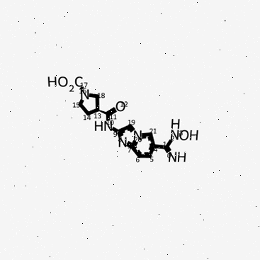 N=C(NO)c1ccc2nc(NC(=O)[C@H]3CCN(C(=O)O)C3)cn2c1